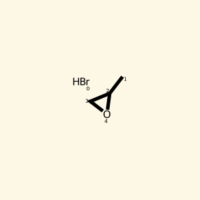 Br.CC1CO1